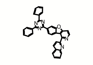 c1ccc(-c2nc(-c3ccccc3)nc(-c3ccc4c(c3)oc3ccnc(-c5ccc6ccccc6n5)c34)n2)cc1